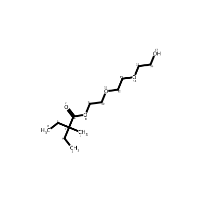 CCC(C)(CC)C(=O)OCCOCCOCCO